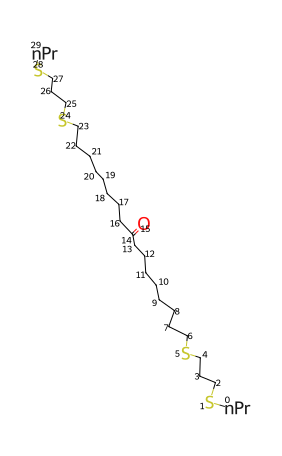 CCCSCCCSCCCCCCCCC(=O)CCCCCCCCSCCCSCCC